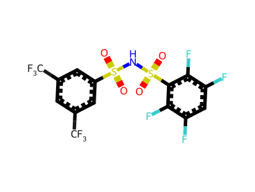 O=S(=O)(NS(=O)(=O)c1c(F)c(F)cc(F)c1F)c1cc(C(F)(F)F)cc(C(F)(F)F)c1